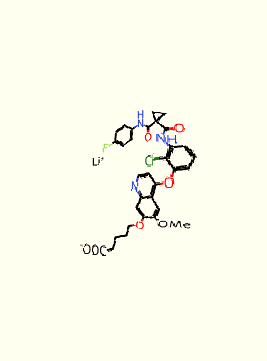 COc1cc2c(Oc3cccc(NC(=O)C4(C(=O)Nc5ccc(F)cc5)CC4)c3Cl)ccnc2cc1OCCCCC(=O)[O-].[Li+]